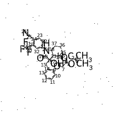 CC(C)(C)OC(=O)COc1ccccc1CC(O)(C(=O)Nc1ccc(C#N)c(C(F)(F)F)c1)C1CCCCC1